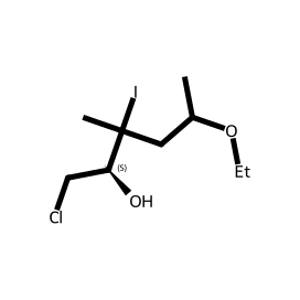 CCOC(C)CC(C)(I)[C@@H](O)CCl